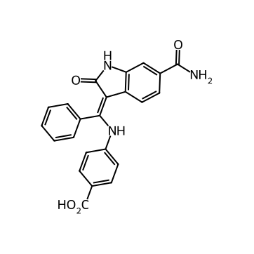 NC(=O)c1ccc2c(c1)NC(=O)C2=C(Nc1ccc(C(=O)O)cc1)c1ccccc1